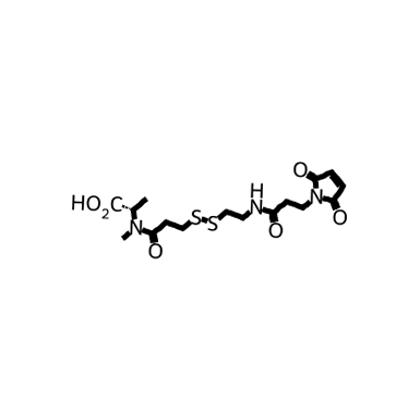 C[C@@H](C(=O)O)N(C)C(=O)CCSSCCNC(=O)CCN1C(=O)C=CC1=O